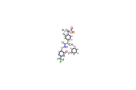 CC(C(=O)NCc1ccc(C(F)(F)F)nc1OCc1ccccc1)c1ccc(N(C)[SH](=O)=O)c(F)c1